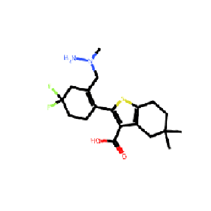 CN(N)CC1=C(c2sc3c(c2C(=O)O)CC(C)(C)CC3)CCC(F)(F)C1